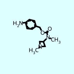 CN1CC(N(C)C(=O)OCc2ccc(N)cc2)C1